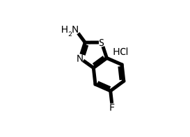 Cl.Nc1nc2cc(F)ccc2s1